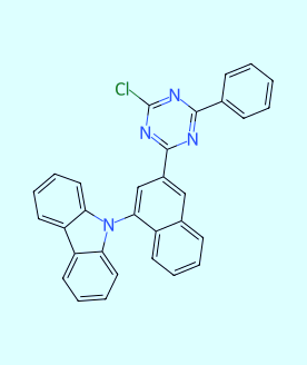 Clc1nc(-c2ccccc2)nc(-c2cc(-n3c4ccccc4c4ccccc43)c3ccccc3c2)n1